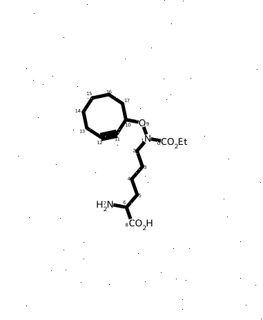 CCOC(=O)N(CCCCC(N)C(=O)O)OC1C#CCCCCC1